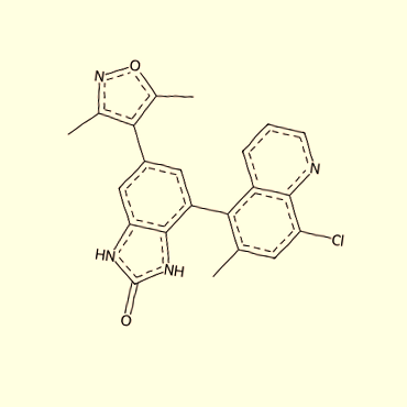 Cc1cc(Cl)c2ncccc2c1-c1cc(-c2c(C)noc2C)cc2[nH]c(=O)[nH]c12